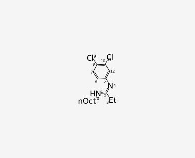 CCCCCCCCNC(CC)=Nc1ccc(Cl)c(Cl)c1